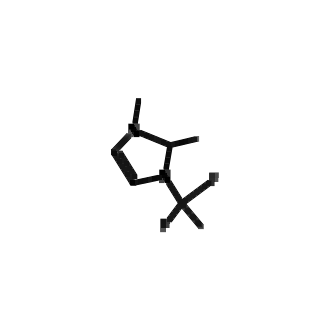 CC1N(C)C=CN1C(C)(F)F